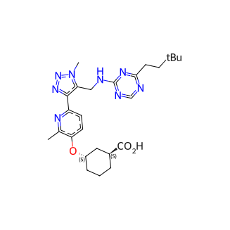 Cc1nc(-c2nnn(C)c2CNc2ncnc(CCC(C)(C)C)n2)ccc1O[C@H]1CCC[C@H](C(=O)O)C1